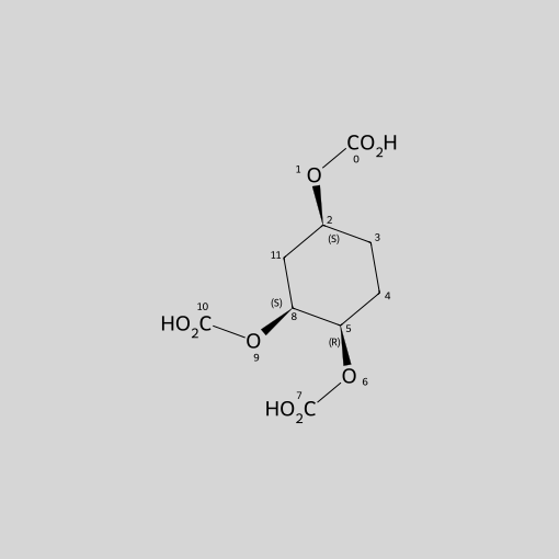 O=C(O)O[C@H]1CC[C@@H](OC(=O)O)[C@@H](OC(=O)O)C1